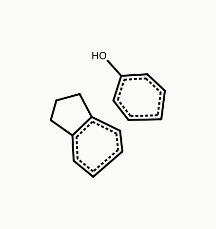 Oc1ccccc1.c1ccc2c(c1)CCC2